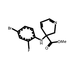 COC(=O)C1(Nc2ccc(Br)cc2F)C=CC=NC1